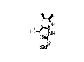 C=CC(=C)/N=C(\CC[C@H](C)CC)NC(=O)OC(C)(C)C